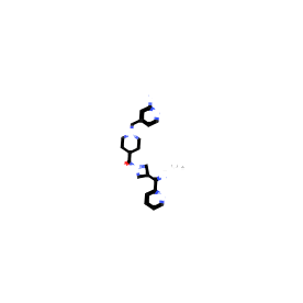 CO/N=C(/c1ccccn1)C1CN(C(=O)C2CCN(Cc3ccnc(N)c3)CC2)C1